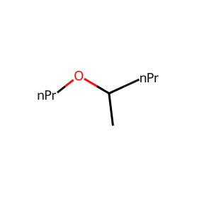 [CH2]CCOC(C)CCC